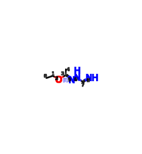 CCO/C(C)=N/NC=N